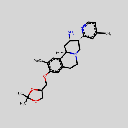 COc1cc2c(cc1OCC1COC(C)(C)O1)CCN1C[C@@H](c3cc(C)ccn3)[C@H](N)C[C@H]21